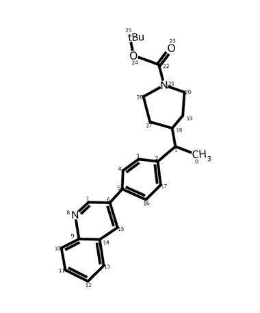 CC(c1ccc(-c2cnc3ccccc3c2)cc1)C1CCN(C(=O)OC(C)(C)C)CC1